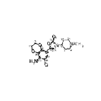 CN1CCC(n2nc(-c3cc(Cl)c(N)c4c3OCCO4)oc2=O)CC1